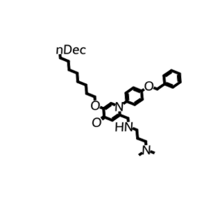 CCCCCCCCCCCCCCCCCCOc1cn(-c2ccc(OCc3ccccc3)cc2)c(CNCCCN(C)C)cc1=O